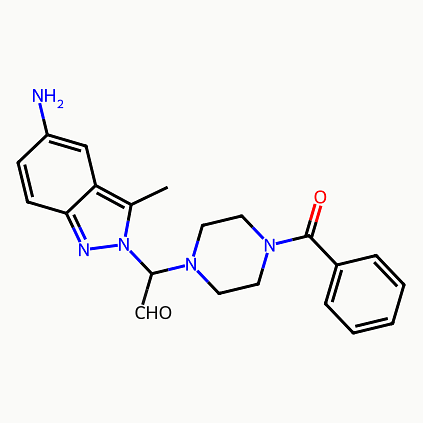 Cc1c2cc(N)ccc2nn1C(C=O)N1CCN(C(=O)c2ccccc2)CC1